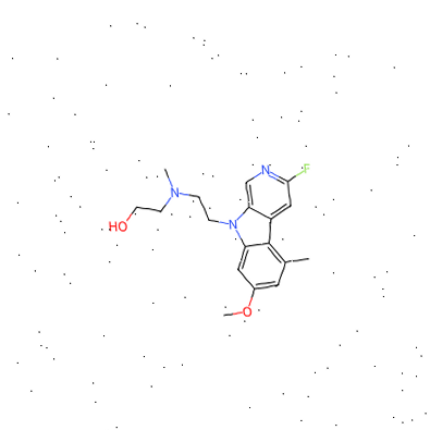 COc1cc(C)c2c3cc(F)ncc3n(CCN(C)CCO)c2c1